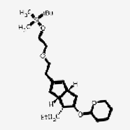 CCOC(=O)[C@@H]1[C@@H]2CC(CCOCCO[Si](C)(C)C(C)(C)C)=C[C@@H]2C[C@H]1OC1CCCCO1